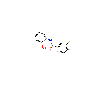 Cc1ccc(C(=O)Nc2ccccc2O)cc1F